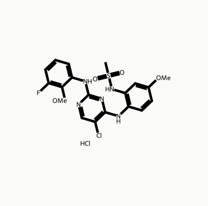 COc1ccc(Nc2nc(Nc3cccc(F)c3OC)ncc2Cl)c(NS(C)(=O)=O)c1.Cl